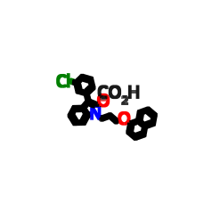 O=C(O)Oc1c(-c2cccc(Cl)c2)c2ccccc2n1CCCOc1cccc2ccccc12